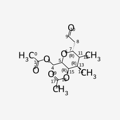 CC(=O)OCC1O[C@H](CC=O)C(C)[C@@H](C)[C@H]1OC(C)=O